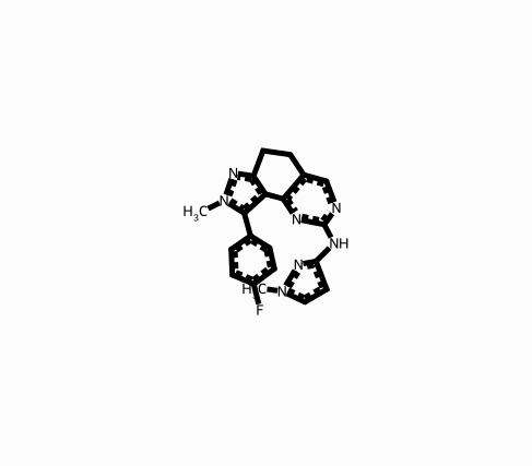 Cn1ccc(Nc2ncc3c(n2)-c2c(nn(C)c2-c2ccc(F)cc2)CC3)n1